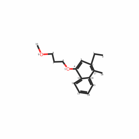 CCc1cc(OCCCOC)c2ccccc2c1C